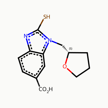 O=C(O)c1ccc2nc(S)n(C[C@@H]3CCCO3)c2c1